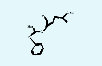 CCCCC(=Nc1ccccc1)OC(=O)CCC(C)OC